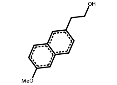 COc1ccc2cc(CCO)ccc2c1